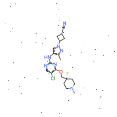 Cc1nn(C2CC(C#N)C2)cc1Nc1ncc(Cl)c(OCC2(F)CCN(C)CC2)n1